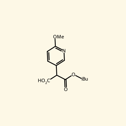 CCC(C)OC(=O)C(C(=O)O)c1ccc(OC)nc1